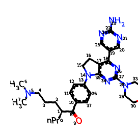 CCC[C@@H](CCCN(C)C)C(=O)c1ccc(N2CCc3c(-c4cnc(N)nc4)nc(N4CCOCC4)nc32)cc1